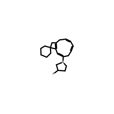 FC1CCN(/C2=C/C3=C(C/C=C\C=C/C2)CC32CCCCC2)C1